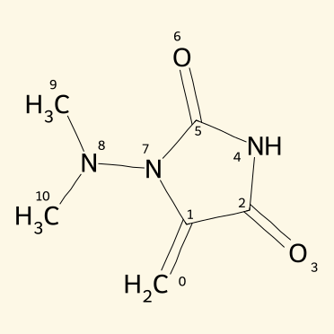 C=C1C(=O)NC(=O)N1N(C)C